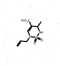 C=CCN1C=C(C(=O)OCC)C(C)NS1(=O)=O